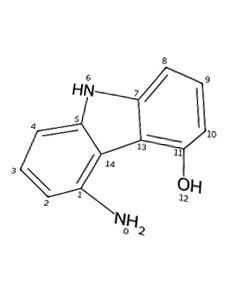 Nc1cccc2[nH]c3cccc(O)c3c12